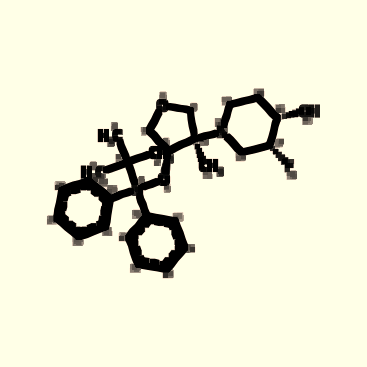 CC(C)(C)[Si](O[C@H]1COC[C@@]1(C)N1CC[C@H](O)[C@H](F)C1)(c1ccccc1)c1ccccc1